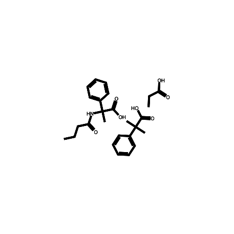 CC(C)(C(=O)O)c1ccccc1.CCC(=O)O.CCCC(=O)NC(C)(C(=O)O)c1ccccc1